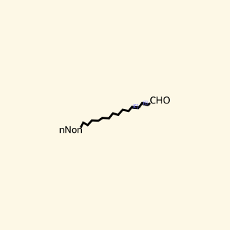 CCCCCCCCCCCCCCCCCCC/C=C/C=C/C=O